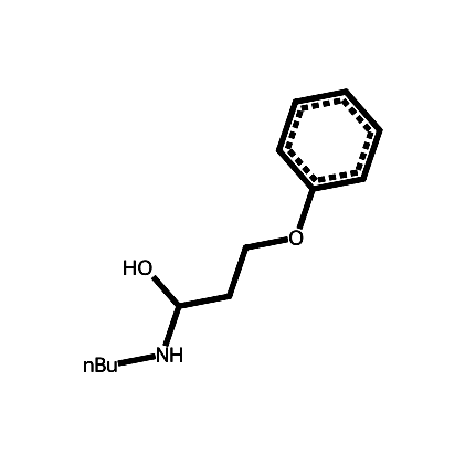 CCCCNC(O)CCOc1ccccc1